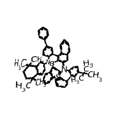 CC(C)(C)c1ccc(N2c3cc4ccccc4c4c3B(c3c2sc2ccccc32)N(c2ccc3c(c2)C(C)(C)CCC3(C)C)c2ccc(-c3ccccc3)cc2-4)c(-c2ccccc2)c1